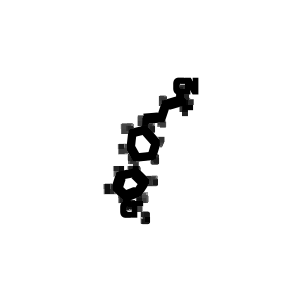 N#C/C(F)=C/C=C/[C@H]1CC[C@H](c2ccc(C(F)(F)F)cc2)CC1